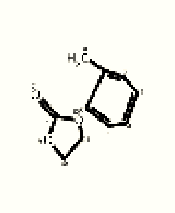 Cc1ccccc1.O=C1OCCO1